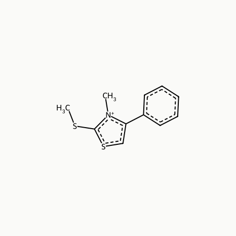 CSc1scc(-c2ccccc2)[n+]1C